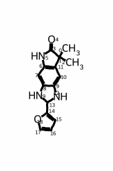 CC1(C)C(=O)Nc2cc3c(cc21)NC(c1ccco1)N3